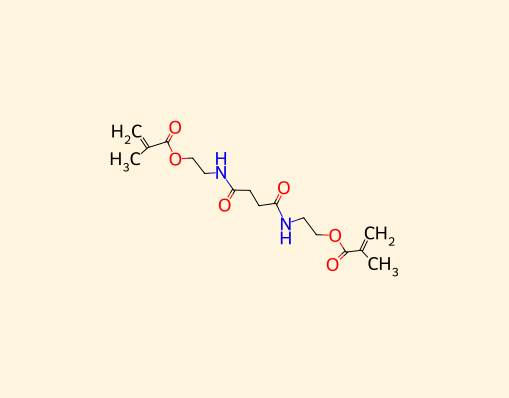 C=C(C)C(=O)OCCNC(=O)CCC(=O)NCCOC(=O)C(=C)C